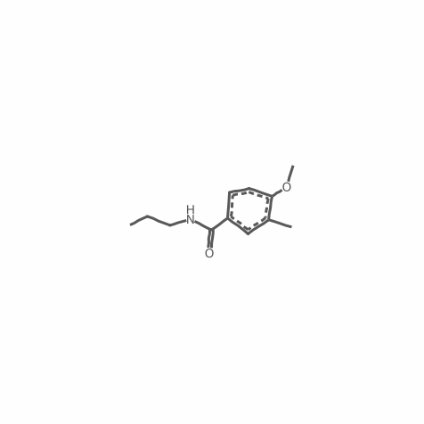 CCCNC(=O)c1ccc(OC)c(C)c1